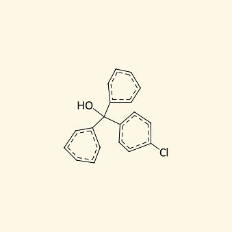 OC(c1ccccc1)(c1ccccc1)c1ccc(Cl)cc1